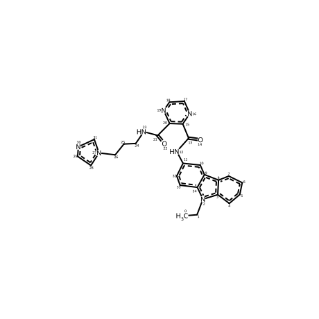 CCn1c2ccccc2c2cc(NC(=O)c3nccnc3C(=O)NCCCn3ccnc3)ccc21